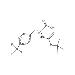 CC(C)(C)OC(=O)N[C@H](Cc1ccc(C(F)(F)F)nc1)C(=O)O